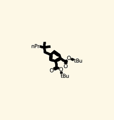 CCCC(C)(C)Cc1ccc(C(=O)OC(C)(C)C)c(C(=O)OC(C)(C)C)c1